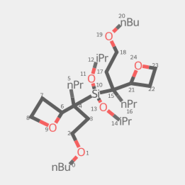 CCCCOCCC(CCC)(C1CCO1)[Si](OC(C)C)(OC(C)C)C(CCC)(CCOCCCC)C1CCO1